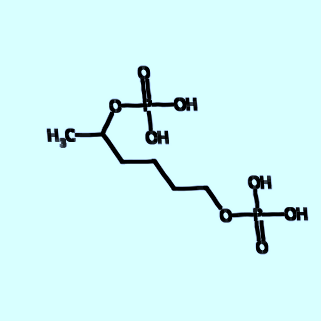 CC(CCCCOP(=O)(O)O)OP(=O)(O)O